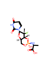 CC(N[P@@]1(O)OC[C@H]2O[C@@H](n3ccc(=O)[nH]c3=O)[C@](C)(F)[C@@H]2O1)C(=O)O